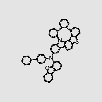 c1ccc(-c2ccc(N(c3ccc4c(c3)c3ccc5sc6cccc7c8ccccc8c8ccccc8n4c3c5c67)c3cccc4c3oc3ccccc34)cc2)cc1